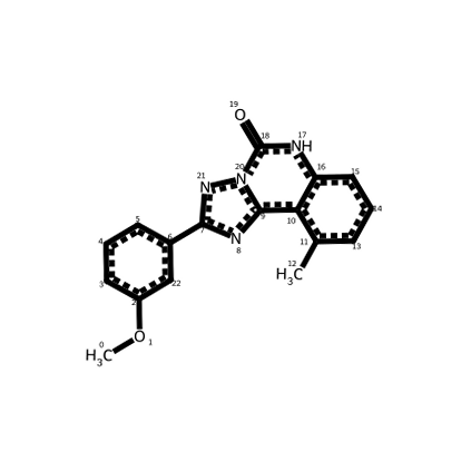 COc1cccc(-c2nc3c4c(C)cccc4[nH]c(=O)n3n2)c1